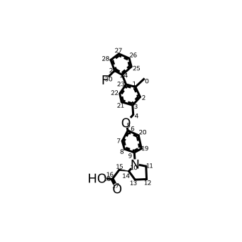 Cc1cc(COc2ccc(N3CCC[C@H]3CC(=O)O)cc2)ccc1-c1ccccc1F